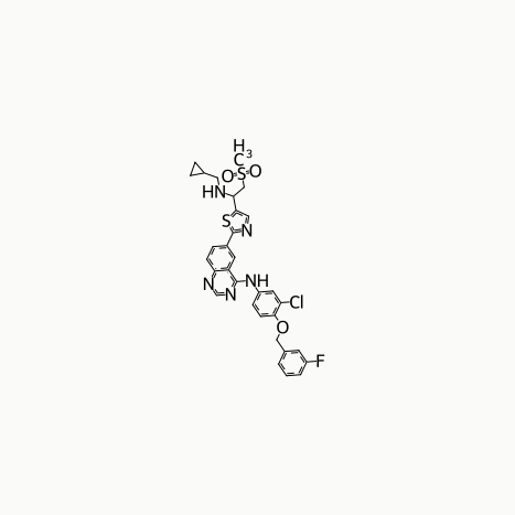 CS(=O)(=O)CC(NCC1CC1)c1cnc(-c2ccc3ncnc(Nc4ccc(OCc5cccc(F)c5)c(Cl)c4)c3c2)s1